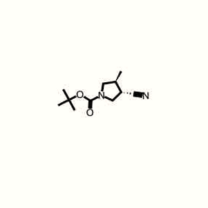 C[C@@H]1CN(C(=O)OC(C)(C)C)C[C@H]1C#N